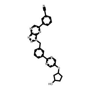 N#Cc1cccc(-c2cnc3nnn(Cc4cccc(-c5ncc(OC6CCC(O)C6)cn5)c4)c3n2)c1